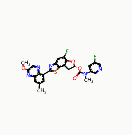 COc1cnc2c(-c3nc4cc(F)c5c(c4s3)C[C@@H](OC(=O)N(C)c3cncc(F)c3)O5)cc(C)cc2n1